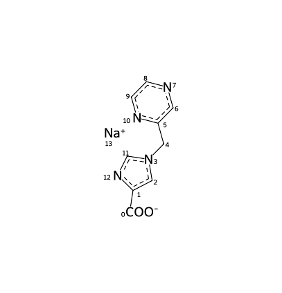 O=C([O-])c1cn(Cc2cnccn2)cn1.[Na+]